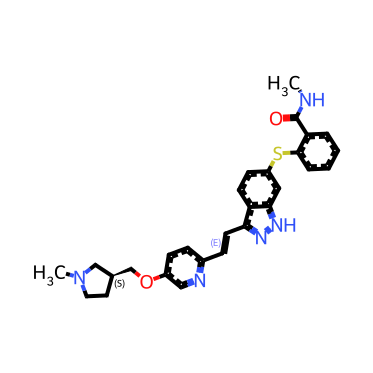 CNC(=O)c1ccccc1Sc1ccc2c(/C=C/c3ccc(OC[C@H]4CCN(C)C4)cn3)n[nH]c2c1